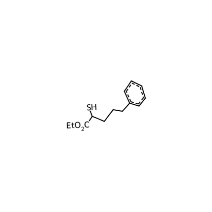 CCOC(=O)C(S)CCCc1ccccc1